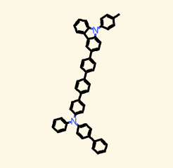 Cc1ccc(-n2c3ccccc3c3cc(-c4ccc(-c5ccc(-c6ccc(N(c7ccccc7)c7ccc(-c8ccccc8)cc7)cc6)cc5)cc4)ccc32)cc1